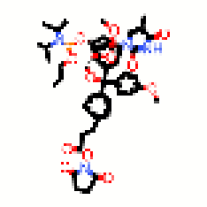 CCCOP(O[C@@H]1C[C@H](n2cc(C)c(=O)[nH]c2=O)O[C@@H]1COC(c1ccc(CCC(=O)ON2C(=O)CCC2=O)cc1)(c1ccc(OC)cc1)c1ccc(OC)cc1)N(C(C)C)C(C)C